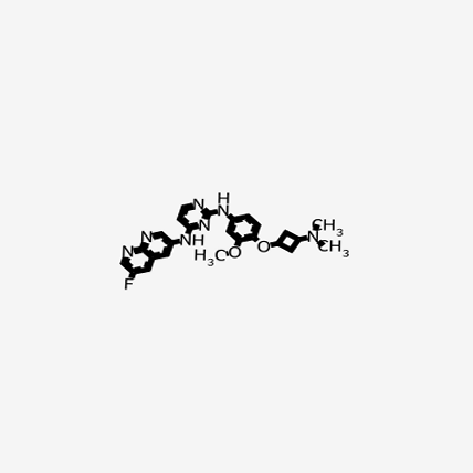 COc1cc(Nc2nccc(Nc3cnc4ncc(F)cc4c3)n2)ccc1OC1CC(N(C)C)C1